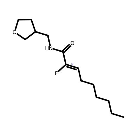 CCCCCC/C=C(\F)C(=O)NCC1CCOC1